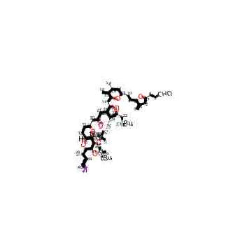 C=C1C[C@H](CCC=O)OC1CC[C@H]1C[C@@H](C)C(=C)C(C[C@@H]2O[C@H](C[C@H](C)CC)[C@H](C)C2CC(=O)C[C@H]2CC[C@@H]3O[C@@H]([C@@H](C)/C=C/I)[C@@H](O[Si](C)(C)C(C)(C)C)[C@@H](O[Si](C)(C)C(C)(C)C)[C@H]3O2)O1